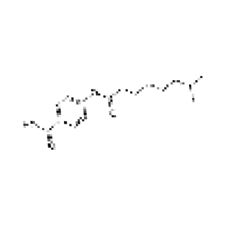 CC(C)CCCCCC(=O)Oc1ccc(C(=O)O)cc1